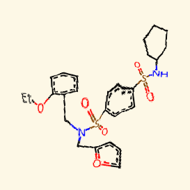 CCOc1ccccc1CN(Cc1ccco1)S(=O)(=O)c1ccc(S(=O)(=O)NC2CCCCC2)cc1